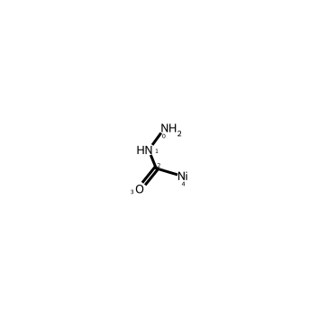 NN[C](=O)[Ni]